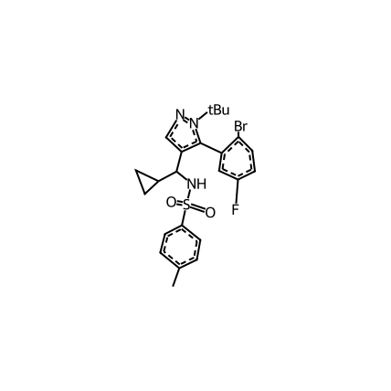 Cc1ccc(S(=O)(=O)NC(c2cnn(C(C)(C)C)c2-c2cc(F)ccc2Br)C2CC2)cc1